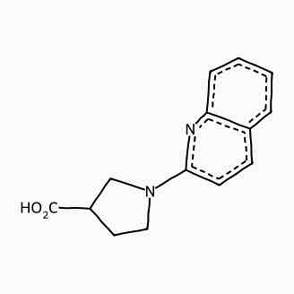 O=C(O)C1CCN(c2ccc3ccccc3n2)C1